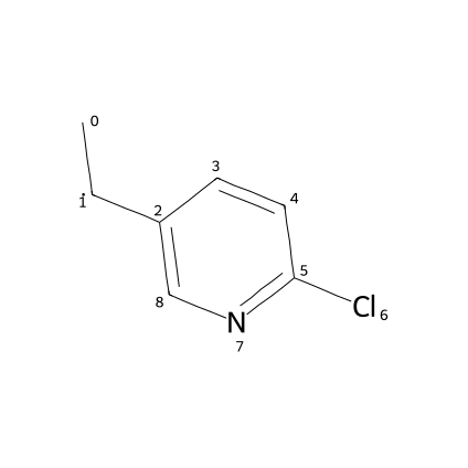 C[CH]c1ccc(Cl)nc1